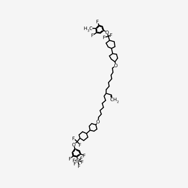 C=CC(CCCCCCCOC1CCC(C2CCC(C(F)(F)Oc3cc(F)c(C)c(F)c3)CC2)CC1)CCCCCCCOC1CCC(C2CCC(C(F)(F)Oc3cc(F)c(S(F)(F)(F)(F)F)c(F)c3)CC2)CC1